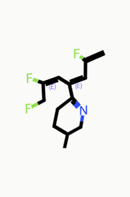 C=C(F)/C=C(\C=C(\F)CF)C1=NCC(C)CC1